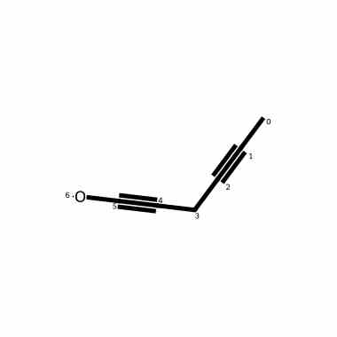 CC#CCC#C[O]